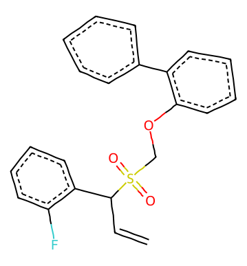 C=CC(c1ccccc1F)S(=O)(=O)COc1ccccc1-c1ccccc1